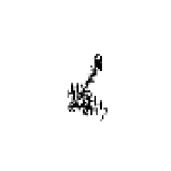 CC(C)c1cc(=O)nc(NC(=O)NCCCCCCN=C=O)[nH]1